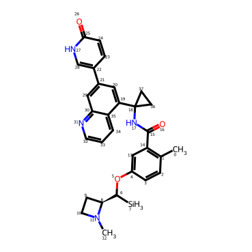 Cc1ccc(OC([SiH3])[C@@H]2CCN2C)cc1C(=O)NC1(c2cc(-c3ccc(=O)[nH]c3)cc3ncccc23)CC1